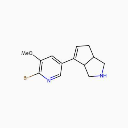 COc1cc(C2=CCC3CNCC23)cnc1Br